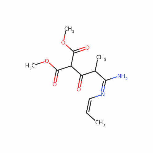 C/C=C\N=C(\N)C(C)C(=O)C(C(=O)OC)C(=O)OC